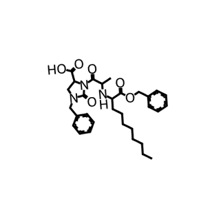 CCCCCCCCC(NC(C)C(=O)N1C(=O)N(Cc2ccccc2)CC1C(=O)O)C(=O)OCc1ccccc1